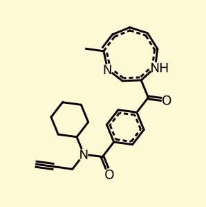 C#CCN(C(=O)c1ccc(C(=O)c2cnc(C)cccc[nH]2)cc1)C1CCCCC1